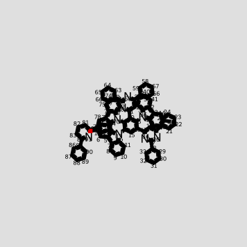 Cc1ccc2c(c1)c1ccccc1n2-c1cc(-c2cc(-c3ccccc3)nc(-c3ccccc3)n2)c(-n2c3ccccc3c3cc(C)ccc32)c(-c2cc(-c3ccccc3)nc(-c3ccccc3)n2)c1-n1c2ccccc2c2cc(-c3cccc(-c4ccccc4)n3)ccc21